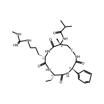 CC[C@@H]1NC(=O)[C@H](CCCNC(=N)NC)NC(=O)[C@](C)(NC(=O)C(C)C)CCNC(=O)[C@@H](c2ccccc2)NC1=O